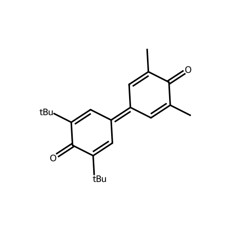 CC1=CC(=C2C=C(C(C)(C)C)C(=O)C(C(C)(C)C)=C2)C=C(C)C1=O